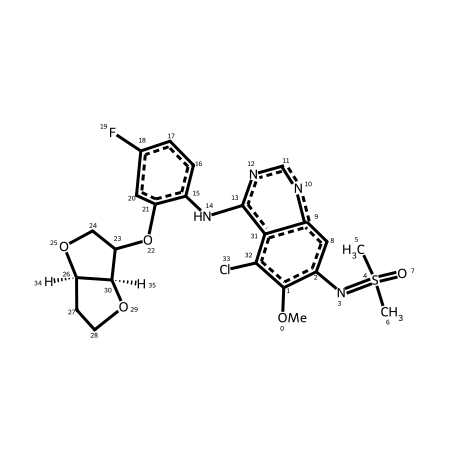 COc1c(N=S(C)(C)=O)cc2ncnc(Nc3ccc(F)cc3OC3CO[C@@H]4CCO[C@H]34)c2c1Cl